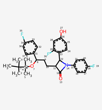 CC(C)(C)[Si](C)(C)OC(CCC1C(=O)N(c2ccc(F)cc2)C1c1ccc(O)cc1F)c1ccc(F)cc1